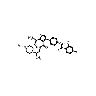 CC(CNC(=O)c1c(C(N)=O)ncn1-c1ccc(NC(=O)c2ccc(F)cc2Cl)cc1)N1CCN(C)CC1